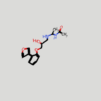 CC(=O)NC(C)NCC(O)COc1ccccc1-c1ccoc1